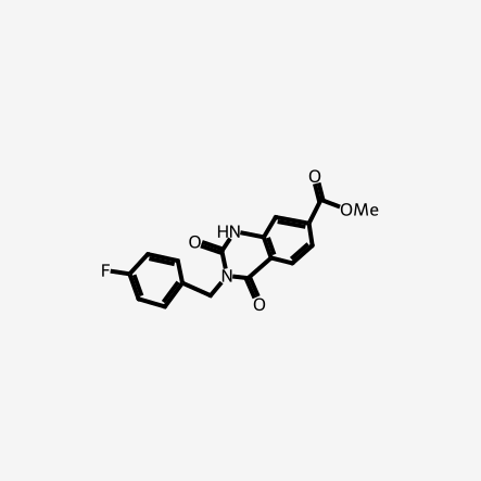 COC(=O)c1ccc2c(=O)n(Cc3ccc(F)cc3)c(=O)[nH]c2c1